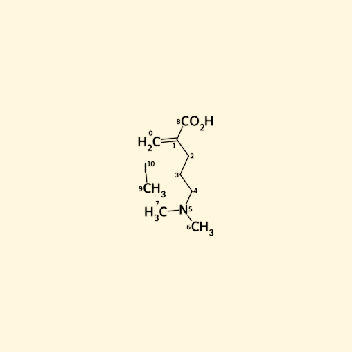 C=C(CCCN(C)C)C(=O)O.CI